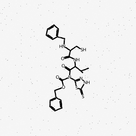 CC(C)C(NC(=O)C(CS)NCc1ccccc1)C(=O)N(C(=O)OCc1ccccc1)c1n[nH]c(=S)s1